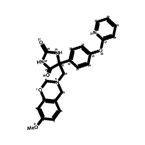 COc1ccc2c(c1)OCN(CC1(c3ccc(Oc4ccccn4)cc3)NC(=O)NC1=O)C2